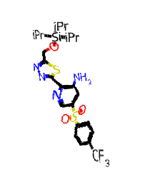 CC(C)[Si](OCc1nnc(-c2ncc(S(=O)(=O)c3ccc(C(F)(F)F)cc3)cc2N)s1)(C(C)C)C(C)C